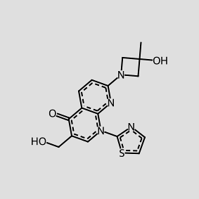 CC1(O)CN(c2ccc3c(=O)c(CO)cn(-c4nccs4)c3n2)C1